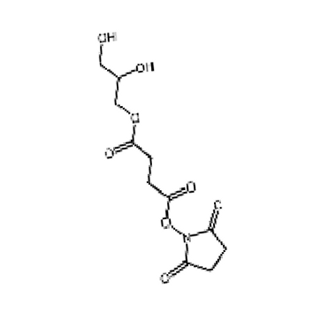 O=C(CCC(=O)ON1C(=O)CCC1=O)OCC(O)CO